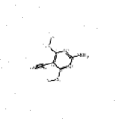 CSc1nc(N)nc(SC)c1C#N